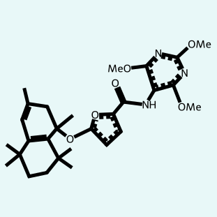 COc1nc(OC)c(NC(=O)c2ccc(OC3(C)CC(C)=CC4=C3C(C)(C)CCC4(C)C)o2)c(OC)n1